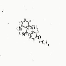 CCOc1ccc(C(=N)c2c(C)cccc2Cl)cc1